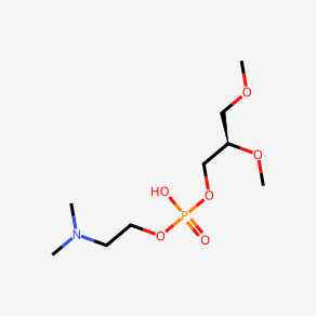 COC[C@H](COP(=O)(O)OCCN(C)C)OC